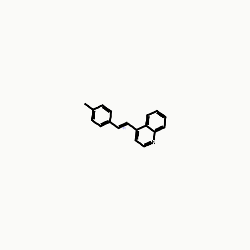 Cc1ccc(/C=C/c2ccnc3ccccc23)cc1